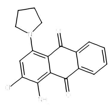 Nc1c(Cl)cc(N2CCCC2)c2c1C(=O)c1ccccc1C2=O